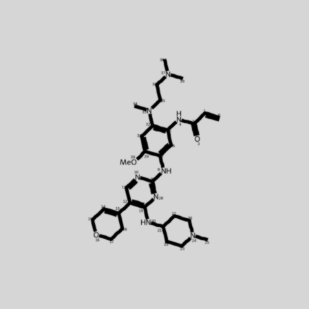 C=CC(=O)Nc1cc(Nc2ncc(C3=CCOCC3)c(NC3CCN(C)CC3)n2)c(OC)cc1N(C)CCN(C)C